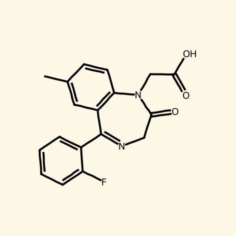 Cc1ccc2c(c1)C(c1ccccc1F)=NCC(=O)N2CC(=O)O